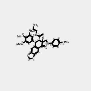 C=C(NCCN)[C@@H]1[C@H](c2cc(OC)c(OC)c(OC)c2)c2cc3c(cc2C2=NN(c4ccc(OC)cc4)C[C@H]21)OCO3